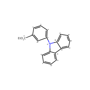 CCOC(=O)c1cccc(-n2c3ccccc3c3ccccc32)c1